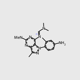 CNc1nc(/N=C/N(C)C)c2c(n1)c(C)nn2-c1ccc(N)cc1C